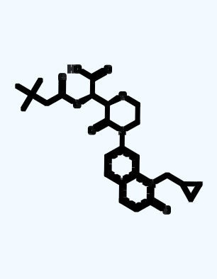 CC(C)(C)CC(=O)O[C@@H](C(=O)O)[C@H]1OCCN(c2ccc3ccc(=O)n(CC4CC4)c3c2)C1=O